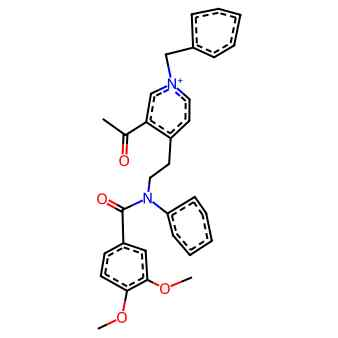 COc1ccc(C(=O)N(CCc2cc[n+](Cc3ccccc3)cc2C(C)=O)c2ccccc2)cc1OC